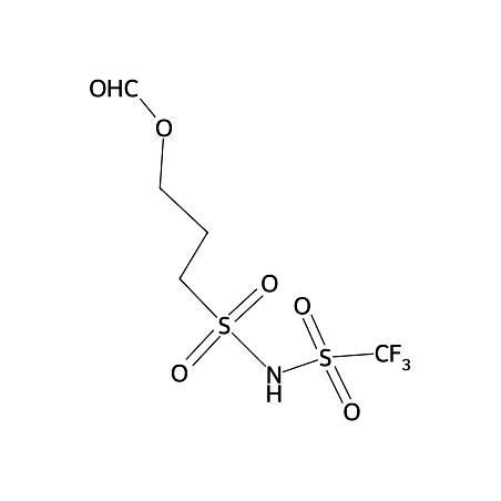 O=COCCCS(=O)(=O)NS(=O)(=O)C(F)(F)F